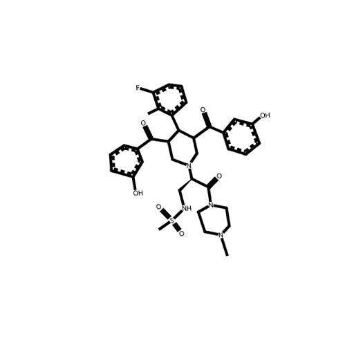 Cc1c(F)cccc1C1C(C(=O)c2cccc(O)c2)CN([C@H](CNS(C)(=O)=O)C(=O)N2CCN(C)CC2)CC1C(=O)c1cccc(O)c1